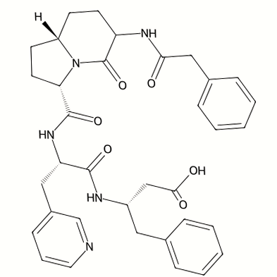 O=C(O)C[C@H](Cc1ccccc1)NC(=O)[C@H](Cc1cccnc1)NC(=O)[C@@H]1CC[C@@H]2CCC(NC(=O)Cc3ccccc3)C(=O)N21